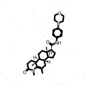 CC1=C2N(C)C(=O)CC[C@]2(C)[C@H]2CC[C@]3(C)[C@@H](C(=O)Nc4ccc(N5CCOCC5)cc4)CC[C@H]3[C@@H]2C1